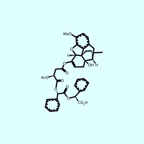 COc1ccc2c3c1O[C@H]1C(OC(=O)C[C@H](OC(C)=O)C(=O)O[C@H](C(=O)O[C@H](C(=O)O)c4ccccc4)c4ccccc4)=CC[C@@]4(O)[C@@H](C2)N(C)CC[C@]314